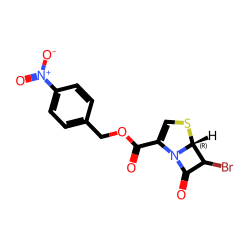 O=C(OCc1ccc([N+](=O)[O-])cc1)C1=CS[C@@H]2C(Br)C(=O)N12